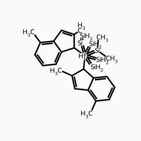 CC1=Cc2c(C)cccc2[CH]1[Hf](=[SiH2])(=[SiH2])(=[SiH2])(=[Si]=[SiH2])([CH]1C(C)=Cc2c(C)cccc21)=[Si](C)C